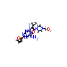 COCCN1CCN(C(=O)[C@@H](Nc2nc(N)n3nc(-c4ccco4)nc3n2)C(C)C)CC1